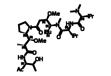 CC[C@H](C)[C@@H]([C@@H](CC(=O)N1CCC[C@H]1[C@H](OC)[C@@H](C)C(=O)N[C@H](C(C)=O)C(C)O)OC)N(C)C(=O)[C@@H](NC(=O)[C@H](C(C)C)N(C)C)C(C)C